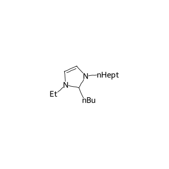 CCCCCCCN1C=CN(CC)C1CCCC